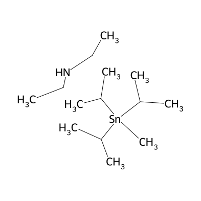 CCNCC.C[CH](C)[Sn]([CH3])([CH](C)C)[CH](C)C